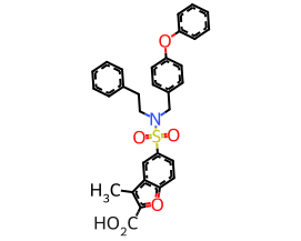 Cc1c(C(=O)O)oc2ccc(S(=O)(=O)N(CCc3ccccc3)Cc3ccc(Oc4ccccc4)cc3)cc12